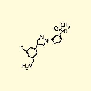 CS(=O)(=O)c1cccc(-n2cc(-c3cc(F)cc(CN)c3)cn2)c1